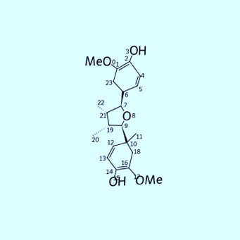 COC1=C(O)C=CC([C@H]2O[C@@H](C3(C)C=CC(O)=C(OC)C3)[C@H](C)[C@@H]2C)C1